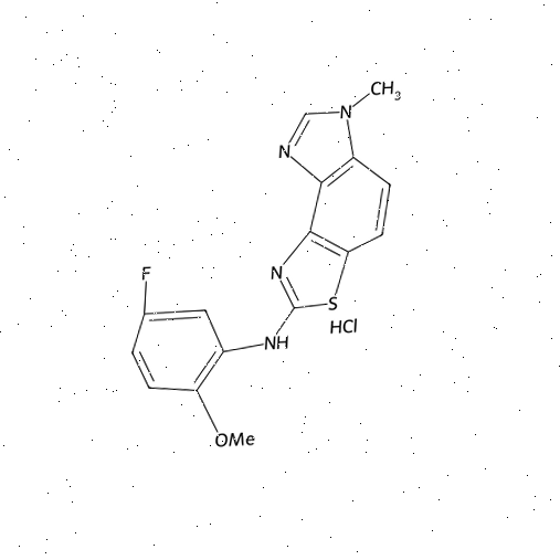 COc1ccc(F)cc1Nc1nc2c(ccc3c2ncn3C)s1.Cl